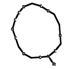 CCN1CCOCCOCCOCCOCCOCC1